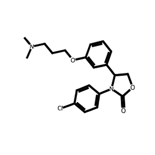 CN(C)CCCOc1cccc(C2COC(=O)N2c2ccc(Cl)cc2)c1